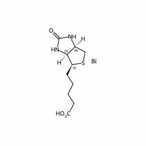 O=C(O)CCCC[C@@H]1SC[C@@H]2NC(=O)N[C@@H]21.[Bi]